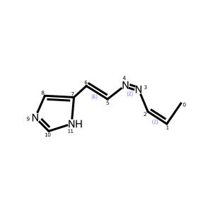 C\C=C/N=N\C=C\c1cnc[nH]1